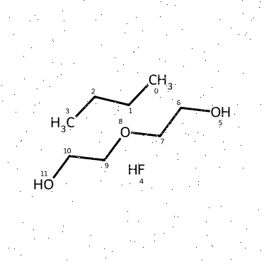 CCCC.F.OCCOCCO